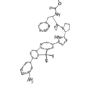 COC(=O)NC(Cc1ccccc1)C(=O)N1CCCC1c1ncc(-c2ccc3c(c2)C(F)(F)c2cc(-c4cccc(N)c4)ccc2-3)[nH]1